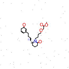 COC(=O)COCCCCN1C(=O)CCC[C@@H]1/C=C/CCC1=CC(=O)CC=C1